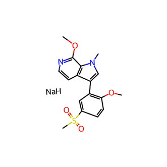 COc1ccc(S(C)(=O)=O)cc1-c1cn(C)c2c(OC)nccc12.[NaH]